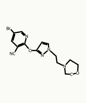 N#Cc1cc(Br)cnc1Oc1ccn(CCN2CCOCC2)n1